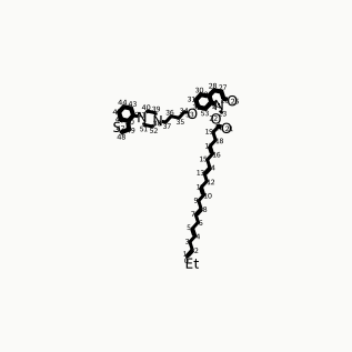 CCC=CCC=CCC=CCC=CCC=CCC=CCCC(=O)OCn1c(=O)ccc2ccc(OCCCCN3CCN(c4cccc5sccc45)CC3)cc21